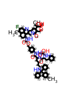 CC[C@@]1(O)C(=O)OCc2c1cc1n(c2=O)Cc2c-1nc1cc(F)c(C)c3c1c2[C@@H](NC(=O)OCc1ccc(NC(=O)C(CCCCNC(c2ccccc2)(c2ccccc2)c2ccc(C)cc2)NC(=O)C(Cc2ccccc2)NC(=O)O)cc1)CC3